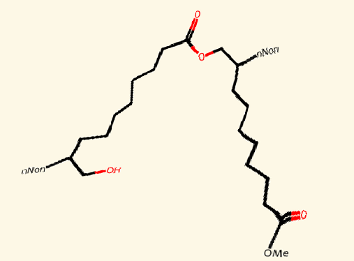 CCCCCCCCCC(CO)CCCCCCCC(=O)OCC(CCCCCCCCC)CCCCCCCC(=O)OC